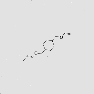 C=COCC1CCC(COC=CC)CC1